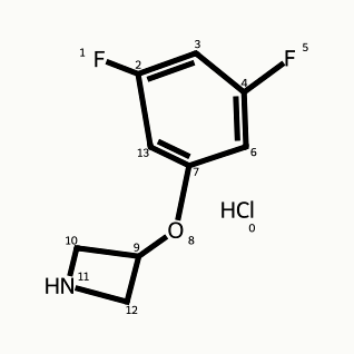 Cl.Fc1cc(F)cc(OC2CNC2)c1